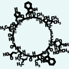 CC(C)C[C@@H]1NC(=O)[C@H](Cc2c[nH]cn2)NC(=O)[C@H](Cc2c[nH]c3ccccc23)NC(=O)[C@H](C)NC(=O)C(NC(C)(C)C)CCSCC[C@@H](C(=O)N[C@H](C(N)=O)[C@@H](C)O)NC(=O)[C@H](Cc2c[nH]c3ccccc23)NC(=O)C(C(C)C)NC(=O)[C@H](CC(C)C)NC(=O)[C@H](CCC(=O)O)NC(=O)CNC1=O